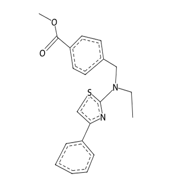 CCN(Cc1ccc(C(=O)OC)cc1)c1nc(-c2ccccc2)cs1